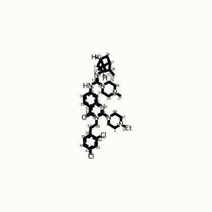 CCN1CCN(c2nc3cc(N/C(=N/[C@H]4C[C@@H]5CC(C4C)C5(C)C)N4CCN(C)CC4)ccc3c(=O)n2CCc2ccc(Cl)cc2Cl)CC1